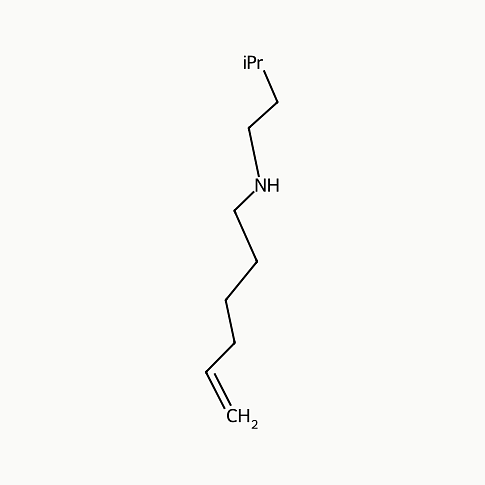 C=CCCCCNCCC(C)C